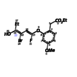 CCOC(=O)Cc1ccc(OC)cc1OC(F)=C/C(Br)=C(/O)CC